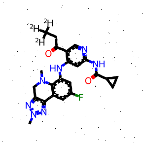 [2H]C([2H])([2H])CC(=O)c1cnc(NC(=O)C2CC2)cc1Nc1cc(F)cc2c1N(C)Cc1nn(C)nc1-2